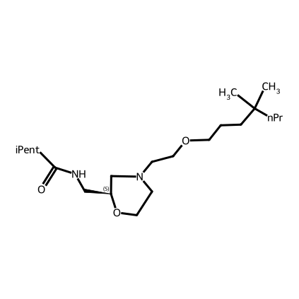 CCCC(C)C(=O)NC[C@H]1CN(CCOCCCC(C)(C)CCC)CCO1